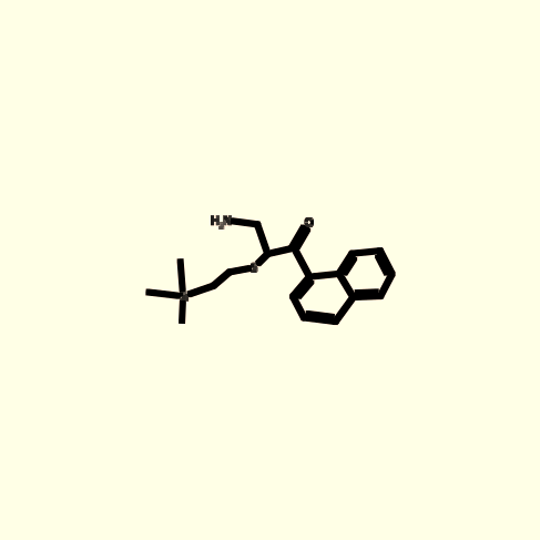 C[Si](C)(C)CCSC(CN)C(=O)c1cccc2ccccc12